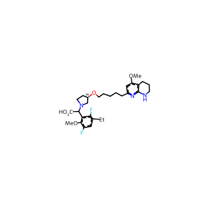 CCc1cc(F)c(OC)c(C(C(=O)O)N2CC[C@@H](OCCCCCc3cc(OC)c4c(n3)NCCC4)C2)c1F